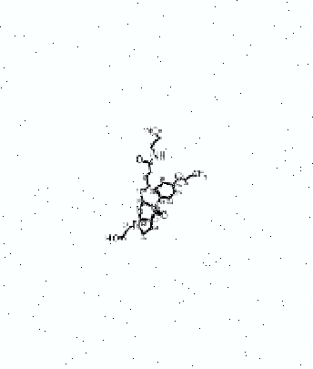 N#CCCNC(=O)CCCSc1nc2c(ccn2CCO)c(=O)n1-c1ccc(OCC(F)(F)F)cc1